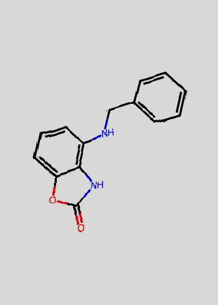 O=c1[nH]c2c(N[CH]c3ccccc3)cccc2o1